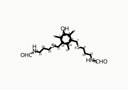 Cc1c(O)c(C)c(CSCCCNC=O)c(C)c1CSCCCNC=O